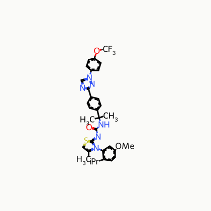 COc1ccc(C(C)C)c(-n2c(C)cs/c2=N\C(=O)NC(C)(C)c2ccc(-c3ncn(-c4ccc(OC(F)(F)F)cc4)n3)cc2)c1